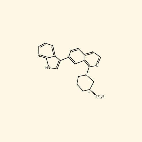 O=C(O)[C@H]1CCCN(c2ncnc3ccc(-c4c[nH]c5ncccc45)cc23)C1